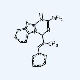 CC(=Cc1ccccc1)C1N=C(N)Nc2nc3ccccc3n21